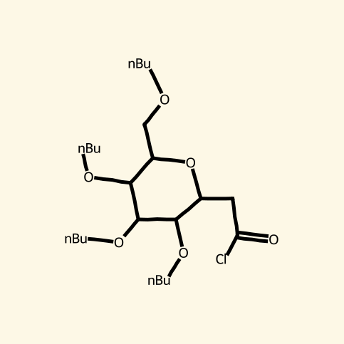 CCCCOCC1OC(CC(=O)Cl)C(OCCCC)C(OCCCC)C1OCCCC